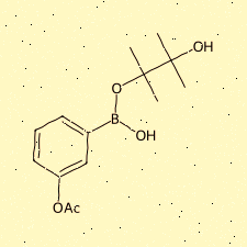 CC(=O)Oc1cccc(B(O)OC(C)(C)C(C)(C)O)c1